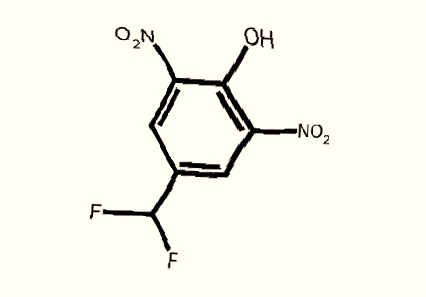 O=[N+]([O-])c1cc(C(F)F)cc([N+](=O)[O-])c1O